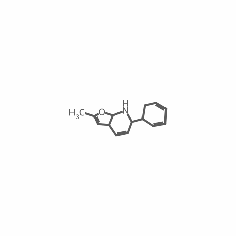 CC1=CC2C=CC(C3C=CC=CC3)NC2O1